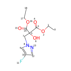 CCOC(=O)C(O)(Cn1cc(F)cn1)C(=O)OCC